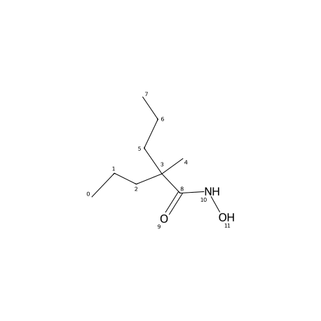 CCCC(C)(CCC)C(=O)NO